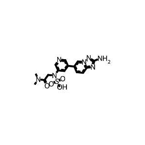 CN(C)C(=O)CN(c1cncc(-c2ccc3nc(N)nn3c2)c1)S(=O)(=O)O